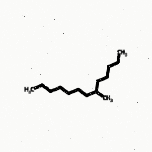 C[CH]CCCCCC(C)CCCCC